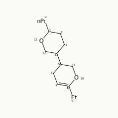 CCCC1CCC(C2CC=C(CC)OC2)CO1